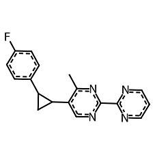 Cc1nc(-c2ncccn2)ncc1C1CC1c1ccc(F)cc1